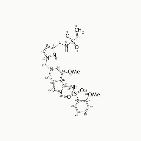 C=CS(=O)(=O)NCc1ccn(Cc2cc(OC)c3c(NS(=O)(=O)c4ccccc4OC)noc3c2)n1